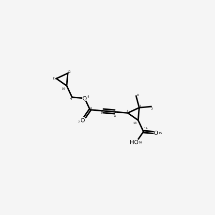 CC1(C)C(C#CC(=O)OCC2CC2)C1C(=O)O